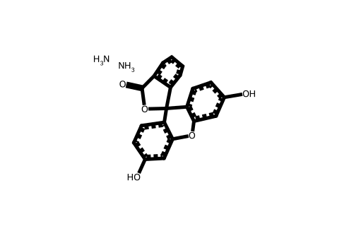 N.N.O=C1OC2(c3ccc(O)cc3Oc3cc(O)ccc32)c2ccccc21